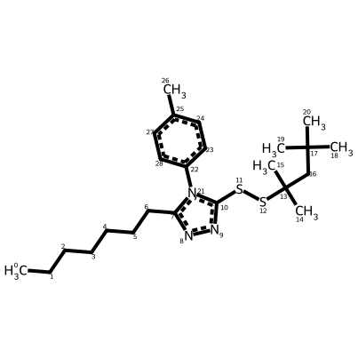 CCCCCCCc1nnc(SSC(C)(C)CC(C)(C)C)n1-c1ccc(C)cc1